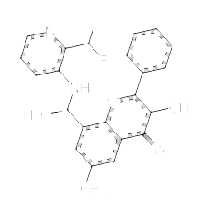 Cc1cc([C@@H](C)Nc2cccnc2C(F)F)c2oc(-c3ccccc3)c(C)c(=O)c2c1